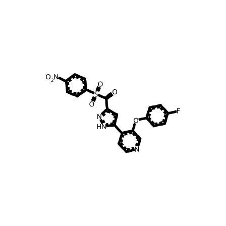 O=C(c1cc(-c2ccncc2Oc2ccc(F)cc2)[nH]n1)S(=O)(=O)c1ccc([N+](=O)[O-])cc1